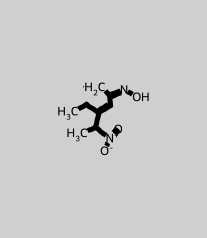 [CH2]C(/C=C(\CC)C(C)[N+](=O)[O-])=N/O